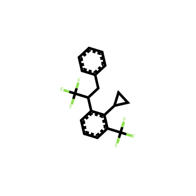 FC(F)(F)[C](Cc1ccccc1)c1cccc(C(F)(F)F)c1C1CC1